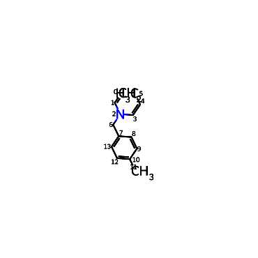 C=CN(/C=C\C)Cc1ccc(C)cc1